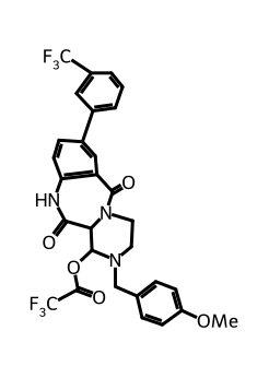 COc1ccc(CN2CCN3C(=O)c4cc(-c5cccc(C(F)(F)F)c5)ccc4NC(=O)C3C2OC(=O)C(F)(F)F)cc1